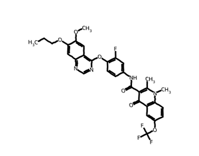 CCCOc1cc2ncnc(Oc3ccc(NC(=O)c4c(C)n(C)c5ccc(OC(F)(F)F)cc5c4=O)cc3F)c2cc1OC